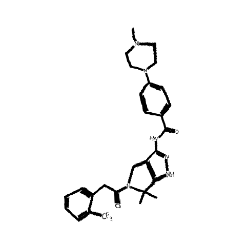 CN1CCN(c2ccc(C(=O)Nc3n[nH]c4c3CN(C(=O)Cc3ccccc3C(F)(F)F)C4(C)C)cc2)CC1